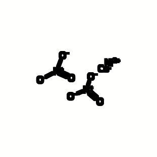 O=[N+]([O-])[O-].O=[N+]([O-])[O-].[Co].[Ni+2]